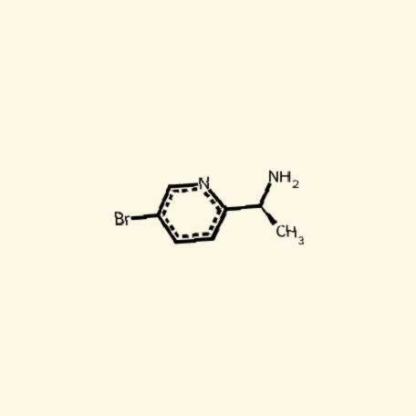 C[C@H](N)c1ccc(Br)cn1